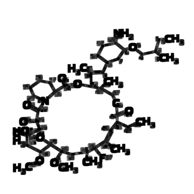 CCC(C)COC1CC(C=C(C)C2OC(=O)C3CCCCN3C(=O)C(=O)C3(O)OC(C(OC)CC(C)C(F)/C(C)=C/C(CC)C(=O)CCC2C)C(OC)CC3C)CCC1N